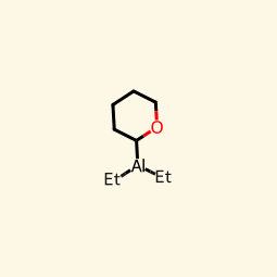 C[CH2][Al]([CH2]C)[CH]1CCCCO1